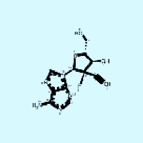 C#C[C@@]1(F)[C@H](O)[C@@H](CO)O[C@@H]1n1cnc2c(N)ncnc21